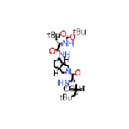 CC(C)(C)C[C@H](NC(=O)OC(C)(C)C)C(=O)N[C@H]1CC[C@@H]2CN(C(=O)[C@H](CC(C)(C)CC(C)(C)C)NC(=O)O)C[C@@H]21